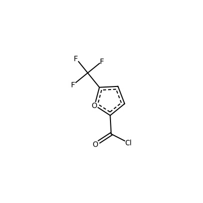 O=C(Cl)c1ccc(C(F)(F)F)o1